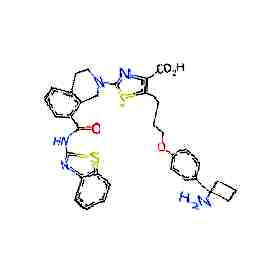 NC1(c2ccc(OCCCc3sc(N4CCc5cccc(C(=O)Nc6nc7ccccc7s6)c5C4)nc3C(=O)O)cc2)CCC1